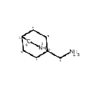 NCC12CCC(CC1)CN2